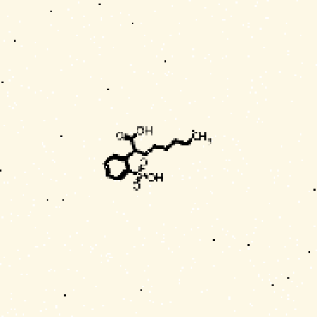 CCCCCCC(C(=O)O)c1ccccc1S(=O)(=O)O